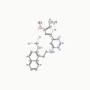 CCOc1cc(-c2cc(NCCc3c(OC(F)F)ccc4ccccc34)ncn2)sc1C(=O)O